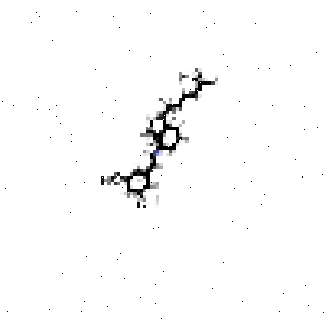 C[C@H](O)CCC[C@@H](C)[C@H]1CC[C@H]2/C(=C/C=C3C[C@@H](O)C[C@H](O)C3)CCC[C@]12C